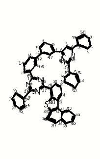 c1ccc(-c2cc(-c3cccc(-c4cccc(-c5nc(-c6ccccc6)nc(-c6cccc7c6sc6ccc8ccccc8c67)n5)c4)c3)nc(-c3ccccc3)n2)cc1